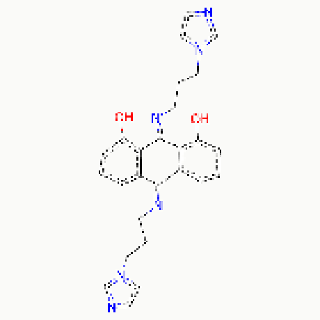 Oc1cccc2c1C(=NCCCn1ccnc1)c1c(O)cccc1C2=NCCCn1ccnc1